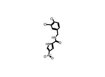 O=C(NCc1ccc(Cl)c(Cl)c1)c1cc([N+](=O)[O-])c[nH]1